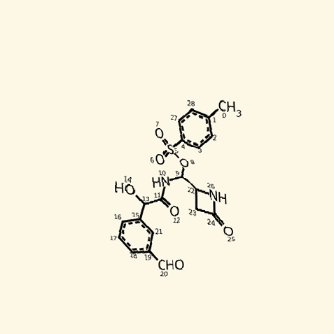 Cc1ccc(S(=O)(=O)OC(NC(=O)C(O)c2cccc(C=O)c2)C2CC(=O)N2)cc1